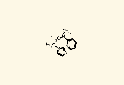 CN(C)c1ccccn1.Cn1ccnc1